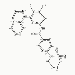 O=C(Nc1cc(F)c(F)c(-c2nccc3ccccc23)c1)c1ccc(N2CCOCS2(=O)=O)cc1